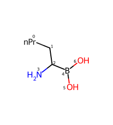 CCCCC(N)B(O)O